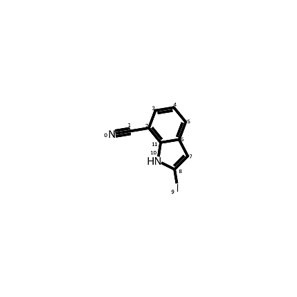 N#Cc1cccc2cc(I)[nH]c12